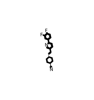 N#C[C@H]1CC[C@H](C=Cc2ccc(-c3ccc(F)c(F)c3)nc2)CC1